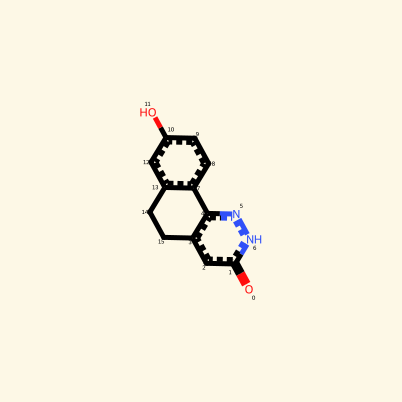 O=c1cc2c(n[nH]1)-c1ccc(O)cc1CC2